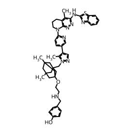 Cc1c(Nc2nc3ccccc3s2)nnc2c1CCCN2c1ccc(-c2cnn(CC34CC5(C)CC(C)(C3)CC(OCCNCc3ccc(O)cc3)(C5)C4)c2C)cn1